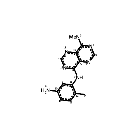 CNc1ncnc2c(Nc3cc(N)ccc3C)ncnc12